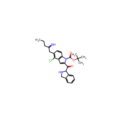 CCCC(=N)Cc1ccc2c(cc(C(=O)C3NCc4ccccc43)n2C(=O)OC(C)(C)C)c1Cl